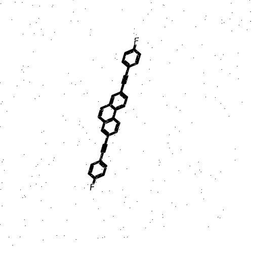 Fc1ccc(C#Cc2ccc3c(ccc4cc(C#Cc5ccc(F)cc5)ccc43)c2)cc1